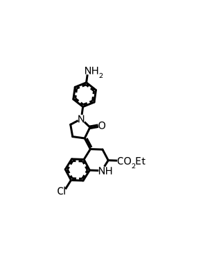 CCOC(=O)C1CC(=C2CCN(c3ccc(N)cc3)C2=O)c2ccc(Cl)cc2N1